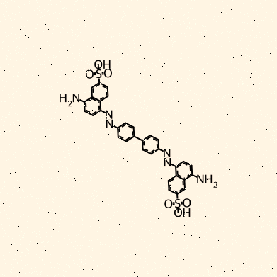 Nc1ccc(/N=N/c2ccc(-c3ccc(/N=N/c4ccc(N)c5cc(S(=O)(=O)O)ccc45)cc3)cc2)c2ccc(S(=O)(=O)O)cc12